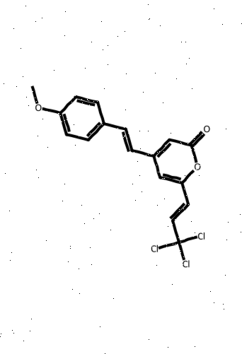 COc1ccc(C=Cc2cc(C=CC(Cl)(Cl)Cl)oc(=O)c2)cc1